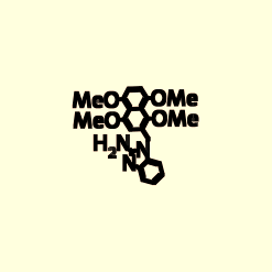 COc1ccc(OC)c2c(OC)c(Cn3c(N)nc4ccccc43)cc(OC)c12